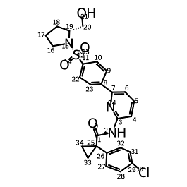 O=C(Nc1cccc(-c2ccc(S(=O)(=O)N3CCC[C@@H]3CO)cc2)n1)C1(c2ccc(Cl)cc2)CC1